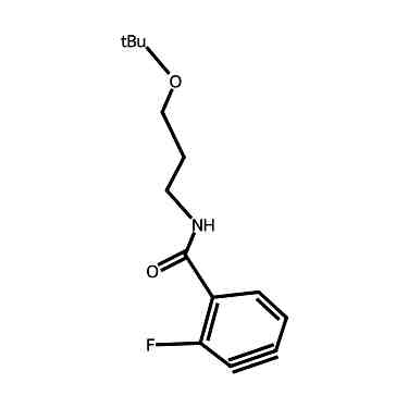 CC(C)(C)OCCCNC(=O)c1ccc#cc1F